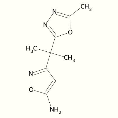 Cc1nnc(C(C)(C)c2cc(N)on2)o1